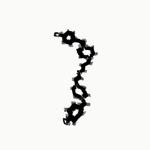 Clc1ccc(CN2CCN(CCCSCCN3CCN(Cc4ccc(Cl)cc4)CC3)CC2)cc1